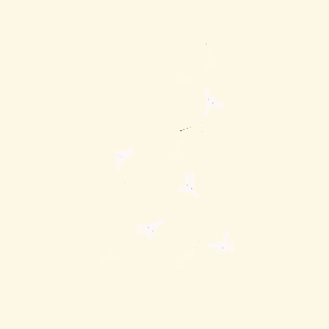 COc1c(F)cccc1Nc1c(-c2ccncc2OC[C@@H]2CCN2C(=O)OC(C)(C)C)[nH]c2c1C(=O)NCC2